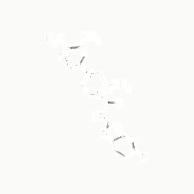 Cc1cc(N2CCN(C(=O)Nc3nc4ccc(F)cc4s3)[C@H](C)C2)nnc1C